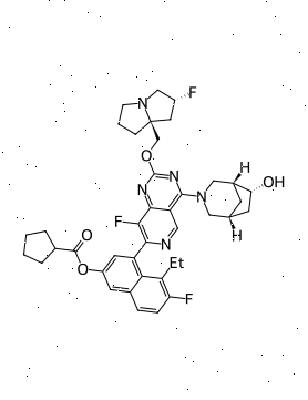 CCc1c(F)ccc2cc(OC(=O)C3CCCC3)cc(-c3ncc4c(N5C[C@@H]6C[C@H](C5)[C@H](O)C6)nc(OC[C@@]56CCCN5C[C@H](F)C6)nc4c3F)c12